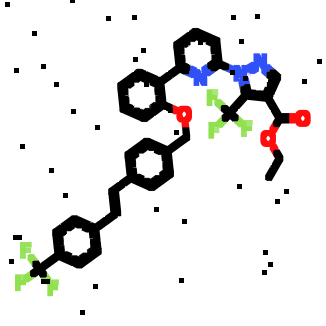 CCOC(=O)c1cnn(-c2cccc(-c3ccccc3OCc3ccc(/C=C/c4ccc(C(F)(F)F)cc4)cc3)n2)c1C(F)(F)F